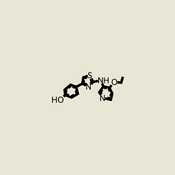 CCOc1ccncc1Nc1nc(-c2ccc(O)cc2)cs1